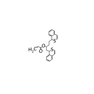 C=CC(=O)OC(CCC1SC=Cc2ccccc21)CC1SC=Cc2ccccc21